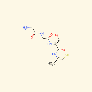 NCC(=O)NCC(=O)N[C@@H](CO)C(=O)N[C@@H](CS)C(=O)O